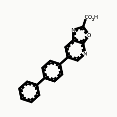 O=C(O)c1nc2cc(-c3ccc(-c4ccccc4)cc3)cnc2o1